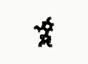 C=Cc1nc(C)ccc1-c1nc(C)c(C)o1